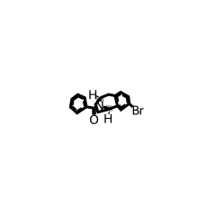 O=C(c1ccccc1)N1[C@H]2CC[C@@H]1c1cc(Br)ccc1C2